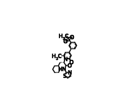 Cc1cc(-c2cccc(S(C)(=O)=O)c2)cc(=O)n1[C@@H](CC1CCCCC1)C(=O)Nc1nccs1